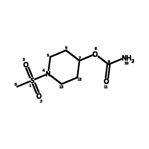 CS(=O)(=O)N1CCC(OC(N)=O)CC1